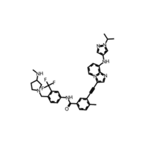 CNC1CCN(Cc2ccc(NC(=O)c3ccc(C)c(C#Cc4cnc5c(Nc6cnn(C(C)C)c6)cccn45)c3)cc2C(F)(F)F)C1